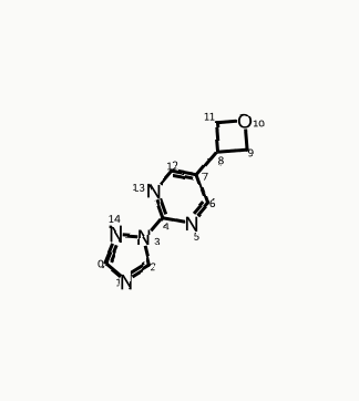 c1ncn(-c2ncc(C3COC3)cn2)n1